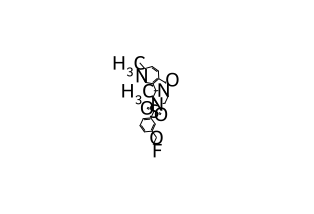 CC1=NCC2=C(C=C1)C(=O)N1CCN(S(=O)(=O)c3cccc(OCF)c3)CC21C